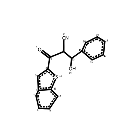 N#CC(C(=O)c1cc2ccccc2s1)C(O)c1ccccc1